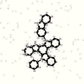 c1ccc(-n2c3ccccc3c3c4c5ccccc5n(-c5ccc6sc7ccccc7c6c5)c4c4sc5ncncc5c4c32)cc1